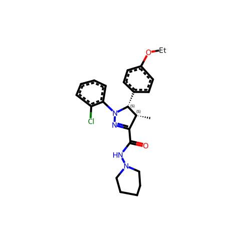 CCOc1ccc([C@@H]2[C@H](C)C(C(=O)NN3CCCCC3)=NN2c2ccccc2Cl)cc1